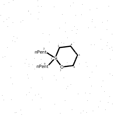 CCCCC[Si]1(CCCCC)CCCCO1